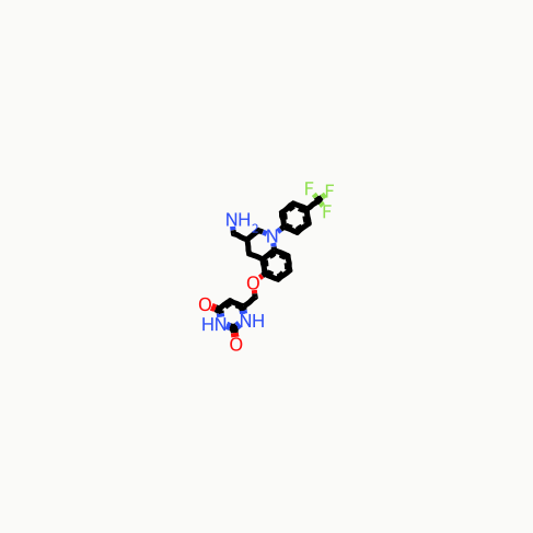 NCC1Cc2c(OCc3cc(=O)[nH]c(=O)[nH]3)cccc2N(c2ccc(C(F)(F)F)cc2)C1